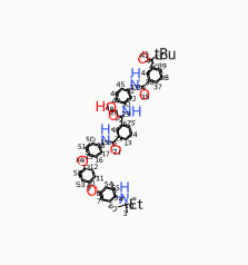 CCC(C)(C)Nc1ccc(Oc2ccc(Oc3ccc(NC(=O)c4cccc(C(=O)Nc5cc(NC(=O)c6cccc(C(=O)C(C)(C)C)c6)ccc5O)c4)cc3)cc2)cc1